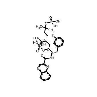 CC(C)(CC[C@H](C[C@H](OP(=O)(O)O)[C@H](Cc1cccc(F)c1)NC(=O)c1cnc2ccccc2n1)C(N)=O)OP(=O)(O)O